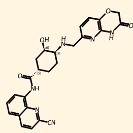 N#Cc1ccc2cccc(NC(=O)[C@H]3CC[C@H](NCc4ccc5c(n4)NC(=O)CO5)[C@H](O)C3)c2n1